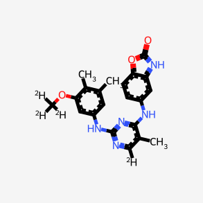 [2H]c1nc(Nc2cc(C)c(C)c(OC([2H])([2H])[2H])c2)nc(Nc2ccc3oc(=O)[nH]c3c2)c1C